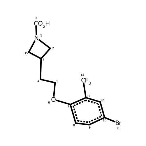 O=C(O)N1CC(CCOc2ccc(Br)cc2C(F)(F)F)C1